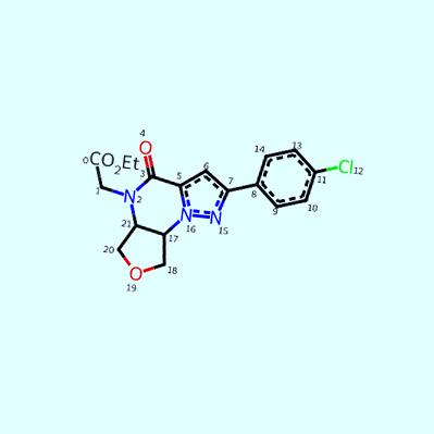 CCOC(=O)CN1C(=O)c2cc(-c3ccc(Cl)cc3)nn2C2COCC21